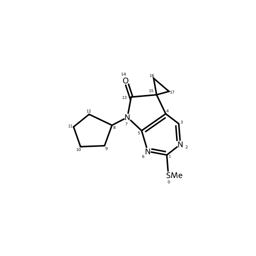 CSc1ncc2c(n1)N(C1CCCC1)C(=O)C21CC1